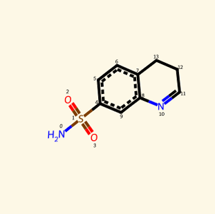 NS(=O)(=O)c1ccc2c(c1)N=CCC2